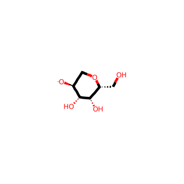 [O][C@H]1CO[C@H](CO)[C@H](O)[C@@H]1O